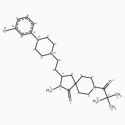 CN1C(=O)C2(CCN(C(=O)C(C)(C)C)CC2)CC1CCN1CCN(c2cccc(Cl)c2)CC1